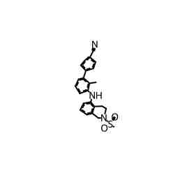 Cc1c(Nc2cccc3c2CCN(S(C)(=O)=O)C3)cccc1-c1ccc(C#N)cc1